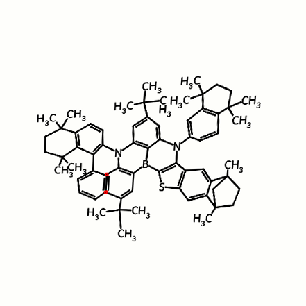 CC(C)(C)c1ccc2c(c1)B1c3sc4cc5c(cc4c3N(c3ccc4c(c3)C(C)(C)CCC4(C)C)c3cc(C(C)(C)C)cc(c31)N2c1ccc2c(c1-c1ccccc1)C(C)(C)CCC2(C)C)C1(C)CCC5(C)C1